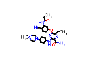 C=CC(=O)Nc1cc(Oc2nc(Nc3ccc(N4CCN(C)CC4)cc3)c(C(N)=O)nc2CC)ccc1C#N